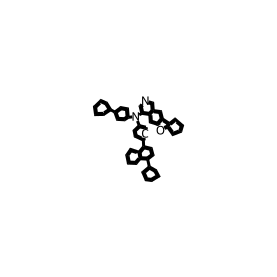 c1ccc(-c2ccc(N(c3ccc(-c4ccc(-c5ccccc5)c5ccccc45)cc3)c3cncc4cc5c(cc34)oc3ccccc35)cc2)cc1